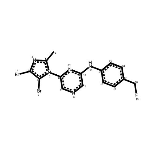 Cc1nc(Br)c(Br)n1-c1cncc(Nc2ccc(CF)cc2)n1